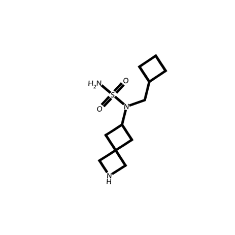 NS(=O)(=O)N(CC1CCC1)C1CC2(CNC2)C1